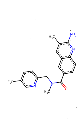 Cc1cc2cc(C(=O)N(C)Cc3ccc(C(F)(F)F)cn3)ccc2nc1N